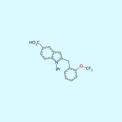 CC(C)n1c(Cc2ccccc2OC(F)(F)F)cc2cc(C(=O)O)ccc21